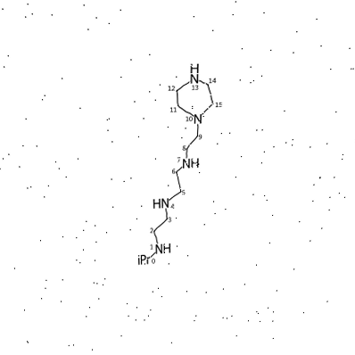 CC(C)NCCNCCNCCN1CCNCC1